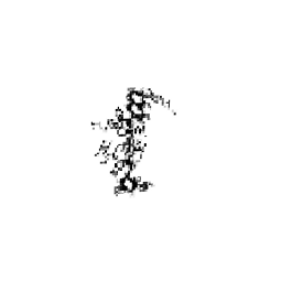 COC(=O)[C@@H](NC(=O)[C@H](C)NC(=O)Cc1cc(F)cc(F)c1)c1ccc2cc(OC)ccc2c1